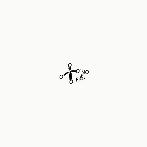 O=S(=O)([O-])[O-].O=[N][Fe+2]